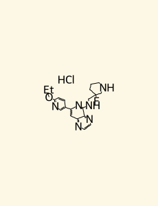 CCOc1ccc(-c2cc3nccnc3c(NCC3(F)CCCNC3)n2)cn1.Cl